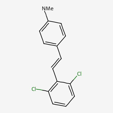 CNc1ccc(C=Cc2c(Cl)cccc2Cl)cc1